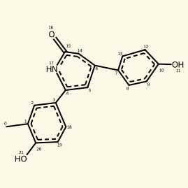 Cc1cc(-c2cc(-c3ccc(O)cc3)cc(=O)[nH]2)ccc1O